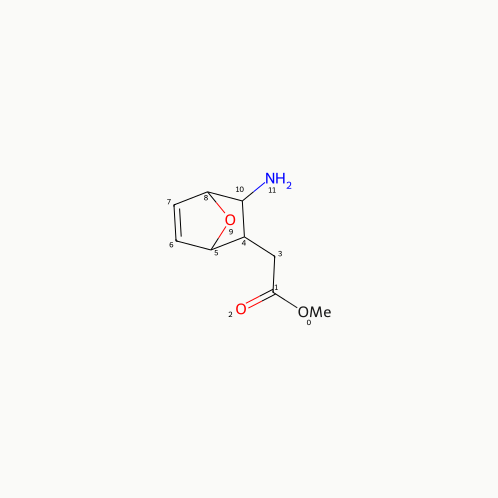 COC(=O)CC1C2C=CC(O2)C1N